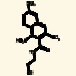 O=C(NCCO)c1c([N+](=O)[O-])cc2cc([N+](=O)[O-])ccc2c1C(=O)O